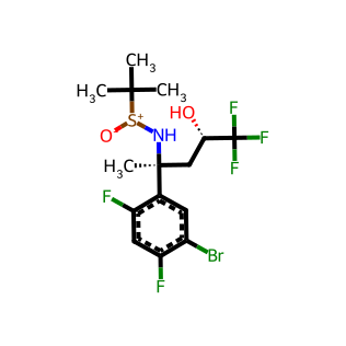 CC(C)(C)[S+]([O-])N[C@@](C)(C[C@H](O)C(F)(F)F)c1cc(Br)c(F)cc1F